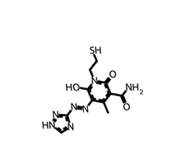 Cc1c(/N=N/c2nc[nH]n2)c(O)n(CCS)c(=O)c1C(N)=O